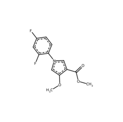 COC(=O)c1cn(-c2ccc(F)cc2F)cc1OC